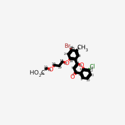 Cc1cc(-c2cc(=O)c3cccc(Cl)c3o2)c(OCCCOCC(=O)O)cc1Br